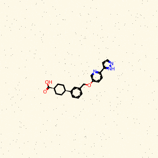 O=C(O)[C@H]1CC[C@@H](c2cccc(COc3ccc(-c4ccn[nH]4)nc3)c2)CC1